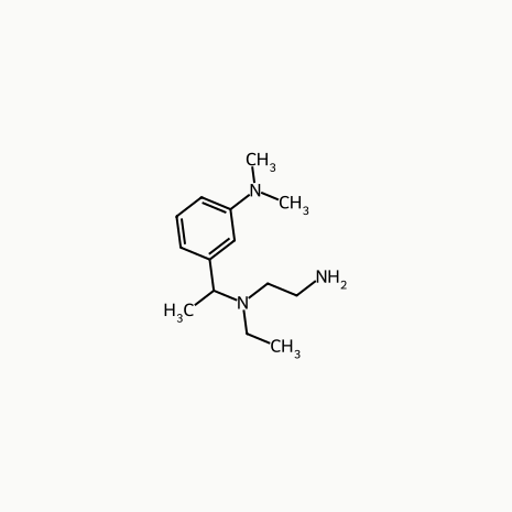 CCN(CCN)C(C)c1cccc(N(C)C)c1